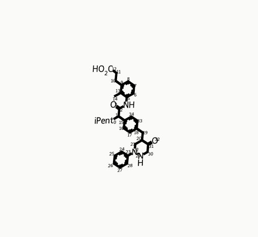 CCCC(C)C(C(=O)Nc1cccc(CCC(=O)O)c1C)c1ccc(CC2CN(c3ccccc3)NCC2=O)cc1